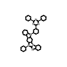 c1ccc(-c2nc(-c3ccccc3)nc(-c3cccc(-n4c5ccccc5c5cc6c(cc54)n4c5ccccc5nc4n6-c4ccccc4)c3)n2)cc1